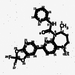 CCN1CC[C@@H](C)N(C(=O)Nc2ccccn2)c2nc(-c3cnc4c(c3)OC(F)(F)O4)ccc21